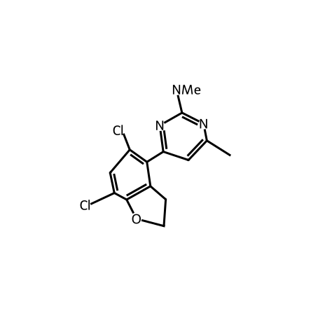 CNc1nc(C)cc(-c2c(Cl)cc(Cl)c3c2CCO3)n1